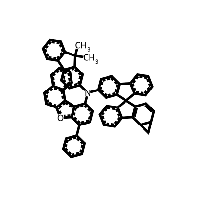 CC1(C)c2ccccc2-c2ccc(N(c3ccc4c(c3)C3(C5=C(c6ccccc63)C3CC3C=C5)c3ccccc3-4)c3ccc(-c4ccccc4)c4oc5ccc6ccccc6c5c34)cc21